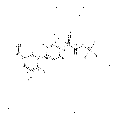 Cc1c(F)cc(C=O)cc1-c1ccc(C(=O)NCC(C)(C)C)cn1